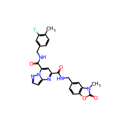 Cc1ccc(CNC(=O)c2cc(C(=O)NCc3ccc4oc(=O)n(C)c4c3)nc3ccnn23)cc1F